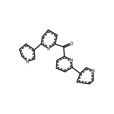 O=C(c1cccc(-c2cccnc2)n1)c1cccc(-c2cccnc2)n1